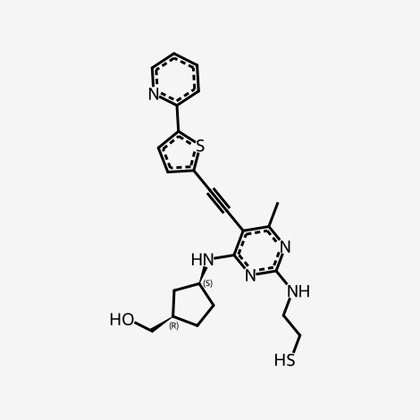 Cc1nc(NCCS)nc(N[C@H]2CC[C@@H](CO)C2)c1C#Cc1ccc(-c2ccccn2)s1